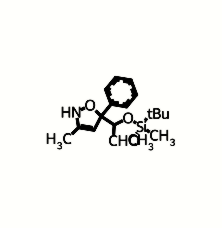 CC1=CC(c2ccccc2)(C(C=O)O[Si](C)(C)C(C)(C)C)ON1